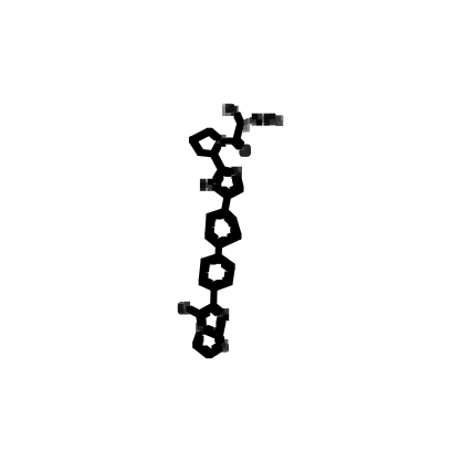 CC(=O)N[C@H](C(=O)N1CCCC1c1ncc(-c2ccc(-c3ccc(-c4nc5sccn5c4Cl)cc3)cc2)[nH]1)C(C)C